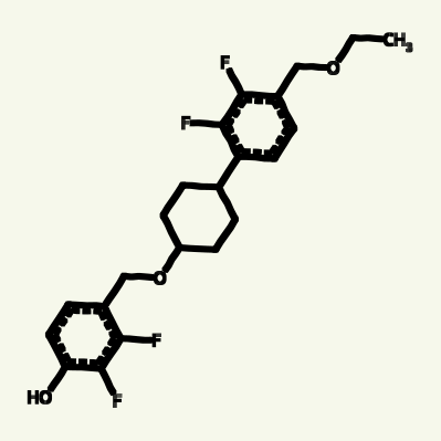 CCOCc1ccc(C2CCC(OCc3ccc(O)c(F)c3F)CC2)c(F)c1F